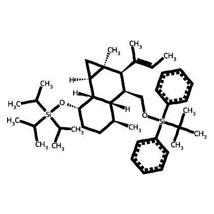 C/C=C(\C)[C@H]1[C@@H](CO[Si](c2ccccc2)(c2ccccc2)C(C)(C)C)[C@H]2[C@H]([C@@H](O[Si](C(C)C)(C(C)C)C(C)C)CC[C@@H]2C)[C@H]2C[C@]21C